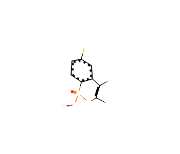 CCOP1(=O)OC(CC)=C(CC)c2cc(F)ccc21